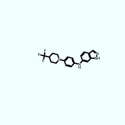 FC(F)(F)C1CCN(c2ccc(Nc3ccc4cn[nH]c4c3)cc2)CC1